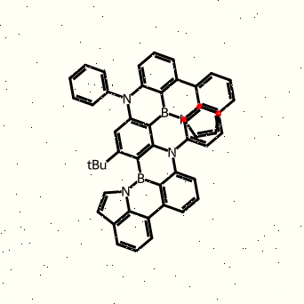 CC(C)(C)c1cc2c(c3c1B1c4c(cccc4N3c3ccccc3)-c3cccc4ccn1c34)B1c3c(cccc3N2c2ccccc2)-c2cccc3ccn1c23